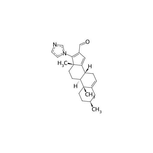 C[C@H]1CC[C@@]2(C)C(=CC[C@H]3C4=CC(C=O)=C(n5ccnc5)[C@@]4(C)CC[C@@H]32)C1